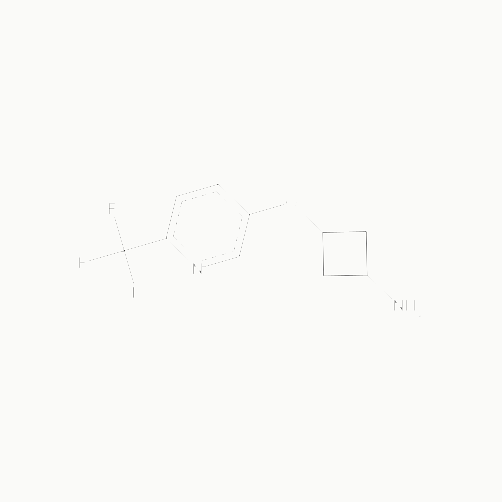 NC1CC(Oc2ccc(C(F)(F)F)nc2)C1